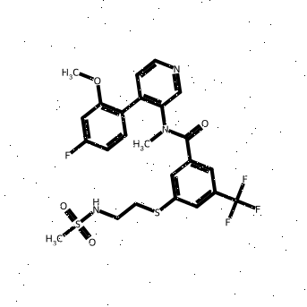 COc1cc(F)ccc1-c1ccncc1N(C)C(=O)c1cc(SCCNS(C)(=O)=O)cc(C(F)(F)F)c1